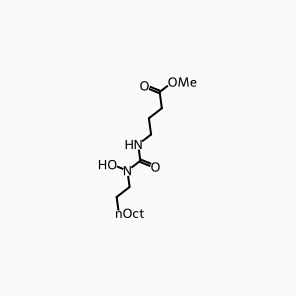 CCCCCCCCCCN(O)C(=O)NCCCC(=O)OC